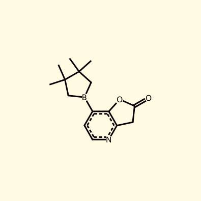 CC1(C)CB(c2ccnc3c2OC(=O)C3)CC1(C)C